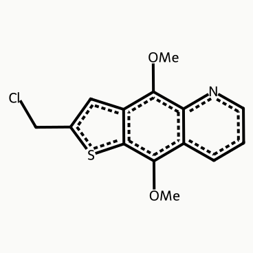 COc1c2cc(CCl)sc2c(OC)c2cccnc12